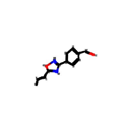 CCCc1nc(-c2ccc(C=O)cc2)no1